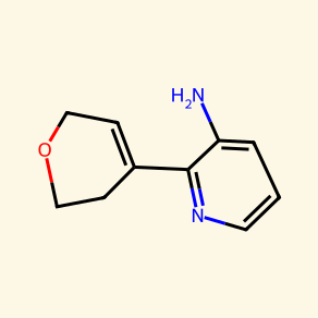 Nc1cccnc1C1=CCOCC1